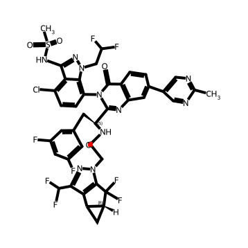 Cc1ncc(-c2ccc3c(=O)n(-c4ccc(Cl)c5c(NS(C)(=O)=O)nn(CC(F)F)c45)c([C@H](Cc4cc(F)cc(F)c4)NC(=O)Cn4nc(C(F)F)c5c4C(F)(F)[C@@H]4CC54)nc3c2)cn1